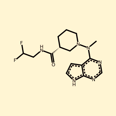 CN(c1ncnc2[nH]ccc12)N1CCC[C@@H](C(=O)NCC(F)F)C1